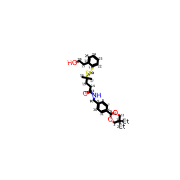 CCC1(CC)COC(c2ccc(CNC(=O)CCC(C)(C)SSc3ccccc3CCO)cc2)OC1